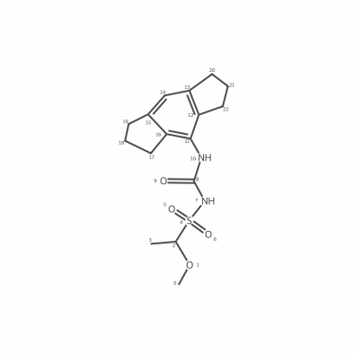 COC(C)S(=O)(=O)NC(=O)Nc1c2c(cc3c1CCC3)CCC2